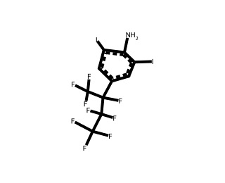 Nc1c(I)cc(C(F)(C(F)(F)F)C(F)(F)C(F)(F)F)cc1I